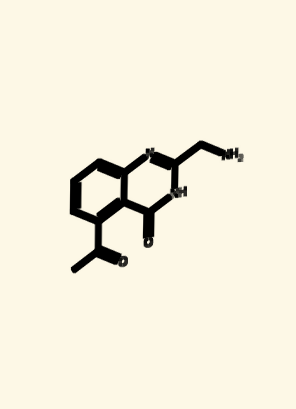 CC(=O)c1cccc2nc(CN)[nH]c(=O)c12